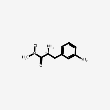 CN(Cl)C(=O)[C@@H](N)Cc1cccc(N)c1